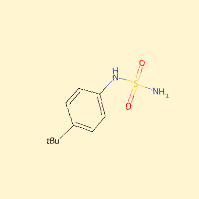 CC(C)(C)c1ccc(NS(N)(=O)=O)cc1